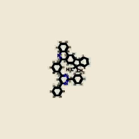 CC1(C)c2ccccc2-c2cc3c(cc21)c(-c1cccc(-c2cc(-c4ccccc4)nc(-c4ccccc4)n2)c1)nc1ccccc13